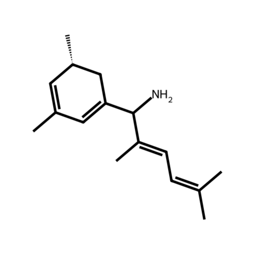 CC(C)=C/C=C(\C)C(N)C1=CC(C)=C[C@H](C)C1